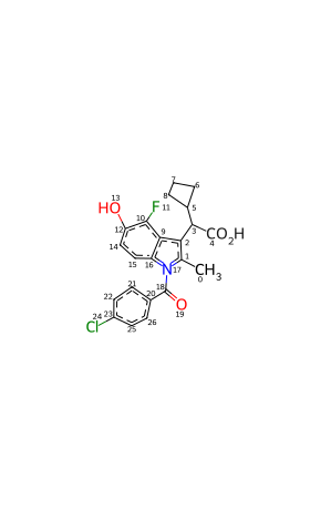 Cc1c(C(C(=O)O)C2CCC2)c2c(F)c(O)ccc2n1C(=O)c1ccc(Cl)cc1